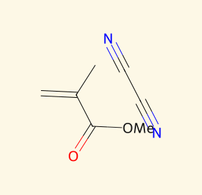 C=C(C)C(=O)OC.N#CC#N